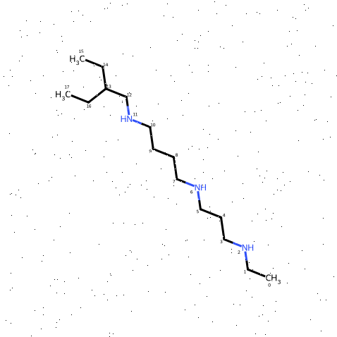 CCNCCCNCCCCNCC(CC)CC